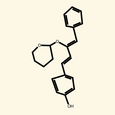 Oc1ccc(C=CC(=Cc2ccccc2)OC2CCCCO2)cc1